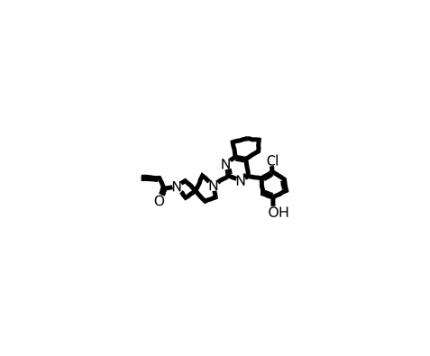 C=CC(=O)N1CC2(CCN(c3nc4c(c(-c5cc(O)ccc5Cl)n3)CCCC4)C2)C1